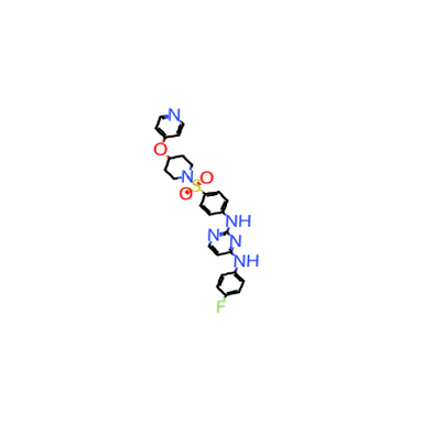 O=S(=O)(c1ccc(Nc2nccc(Nc3ccc(F)cc3)n2)cc1)N1CCC(Oc2ccncc2)CC1